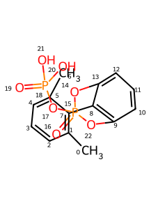 Cc1cccc(C)c1-c1c2cccc1OP(=O)(OP(=O)(O)O)O2